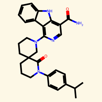 CC(C)c1ccc(N2CCCC3(CCCN(c4ncc(C(N)=O)c5[nH]c6ccccc6c45)C3)C2=O)cc1